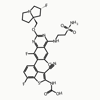 N#Cc1c(NC(=O)O)sc2c(F)ccc(-c3c(Cl)cc4c(NCCS(N)(=O)=O)nc(OC[C@@]56CCCN5C[C@H](F)C6)nc4c3F)c12